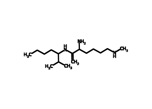 C=C(NC(CCCC)C(C)C)C(N)CCCCNC